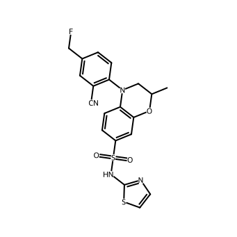 CC1CN(c2ccc(CF)cc2C#N)c2ccc(S(=O)(=O)Nc3nccs3)cc2O1